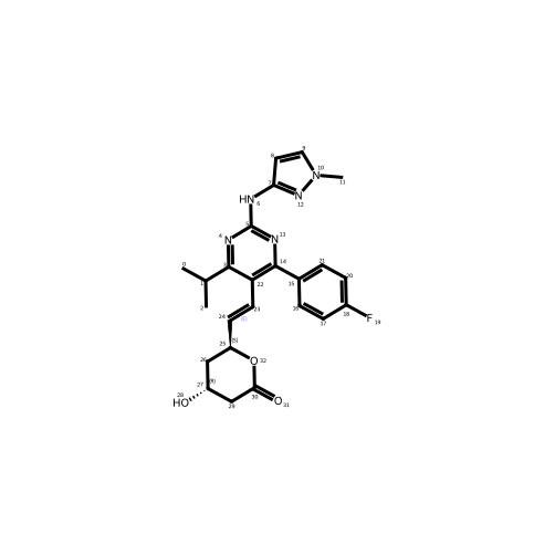 CC(C)c1nc(Nc2ccn(C)n2)nc(-c2ccc(F)cc2)c1/C=C/[C@@H]1C[C@@H](O)CC(=O)O1